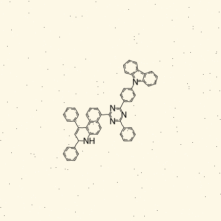 C1=C(c2ccccc2)c2c(ccc3c(-c4nc(-c5ccccc5)nc(-c5ccc(-n6c7ccccc7c7ccccc76)cc5)n4)cccc23)NC1c1ccccc1